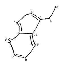 [CH2]Cc1ccc2scccc1-2